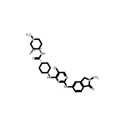 CN1CC[C@@H](NC(=O)[C@H]2CC[C@H](Nc3nc(Nc4ccc5c(c4)CN(C)C5=O)ncc3Cl)CC2)[C@@H](F)C1